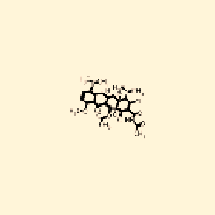 COc1ccc(N(C)C)c2c1C(=O)C1=C(OC(C)=O)[C@]3(Cl)C(=O)C(C(=O)NC(C)=O)=C(Cl)[C@@H](N(C)C)[C@@H]3C[C@@H]1C2